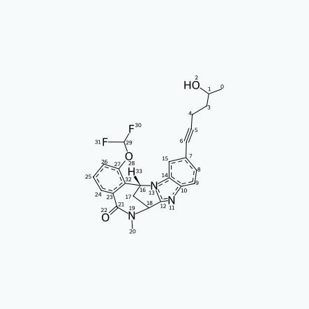 CC(O)CCC#Cc1ccc2nc3n(c2c1)[C@@H]1CC3N(C)C(=O)c2cccc(OC(F)F)c21